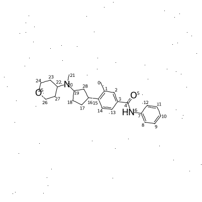 Cc1cc(C(=O)Nc2ccccc2)ccc1C1CCC(N(C)C2CCOCC2)C1